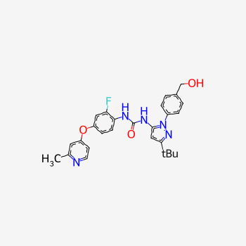 Cc1cc(Oc2ccc(NC(=O)Nc3cc(C(C)(C)C)nn3-c3ccc(CO)cc3)c(F)c2)ccn1